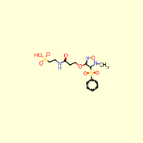 CN1ON=C(OCCC(=O)NCCS(=O)(=O)O)C1S(=O)(=O)c1ccccc1